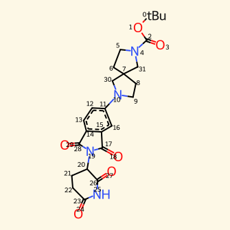 CC(C)(C)OC(=O)N1CCC2(CCN(c3ccc4c(c3)C(=O)N(C3CCC(=O)NC3=O)C4=O)C2)C1